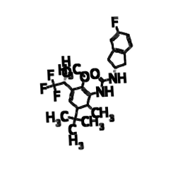 COC1=C(NC(=O)N[C@H]2Cc3ccc(F)cc3C2)C(C)C(C(C)(C)C)C=C1[C@@H](O)C(F)(F)F